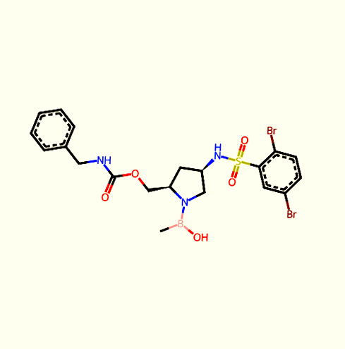 CB(O)N1C[C@H](NS(=O)(=O)c2cc(Br)ccc2Br)C[C@@H]1COC(=O)NCc1ccccc1